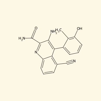 Cc1c(O)cccc1-c1c(N)c(C(N)=O)nc2cccc(C#N)c12